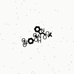 CC(C)(C)OC(=O)C1=Nc2ccccc2C1NC(=O)Oc1ccc([N+](=O)[O-])cc1